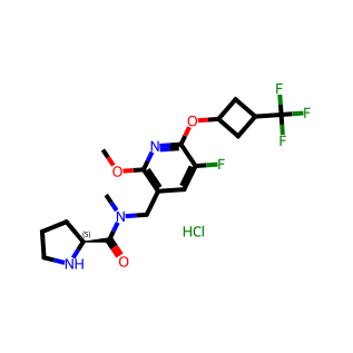 COc1nc(OC2CC(C(F)(F)F)C2)c(F)cc1CN(C)C(=O)[C@@H]1CCCN1.Cl